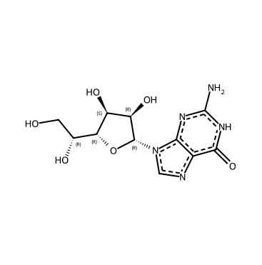 Nc1nc2c(ncn2[C@@H]2O[C@H]([C@H](O)CO)[C@@H](O)[C@H]2O)c(=O)[nH]1